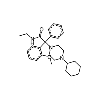 CCNC(=O)C(c1ccccc1)(c1ccccc1OC)N1CCN(C2CCCCC2)CC1